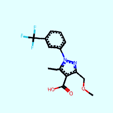 COCc1nn(-c2cccc(C(F)(F)F)c2)c(C)c1C(=O)O